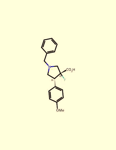 COc1ccc([C@@H]2CN(Cc3ccccc3)C[C@@]2(F)C(=O)O)cc1